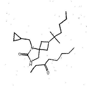 CCCCC(C)(C)C1CC2(CNC(=O)N2CC2CC2)C1.CCCCCC(=O)CC